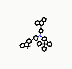 CC1(C)c2ccccc2-c2ccc(-c3ccc(N(c4ccc(-c5cc6ccccc6c6ccccc56)cc4)c4ccc5c(c4)C(c4ccccc4)(c4ccccc4)c4ccccc4-5)cc3)cc21